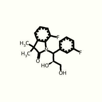 CC1(C)C(=O)N(C(c2cccc(F)c2)[C@H](O)CO)c2c(F)cccc21